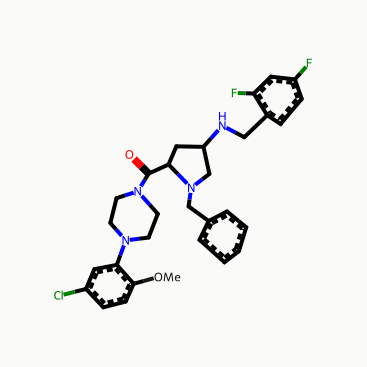 COc1ccc(Cl)cc1N1CCN(C(=O)C2CC(NCc3ccc(F)cc3F)CN2Cc2ccccc2)CC1